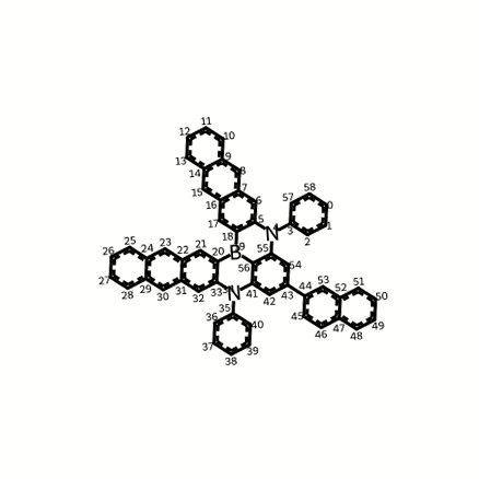 c1ccc(N2c3cc4cc5ccccc5cc4cc3B3c4cc5cc6ccccc6cc5cc4N(c4ccccc4)c4cc(-c5ccc6ccccc6c5)cc2c43)cc1